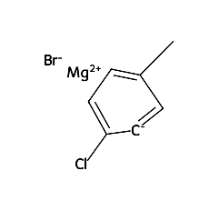 Cc1c[c-]c(Cl)cc1.[Br-].[Mg+2]